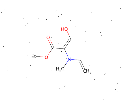 C=CN(C)/C(=C/O)C(=O)OCC